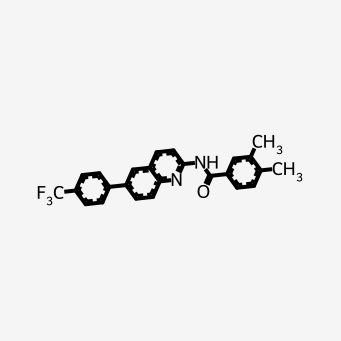 Cc1ccc(C(=O)Nc2ccc3cc(-c4ccc(C(F)(F)F)cc4)ccc3n2)cc1C